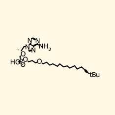 C[C@H](Cn1cnc2c(N)ncnc21)OCP(=O)(O)OCCCOCCCCCCCCCCCCC#CC(C)(C)C